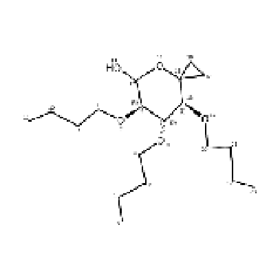 CCCCO[C@@H]1[C@@H](OCCCC)C(O)OC2(CC2)[C@H]1OCCCC